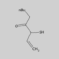 C=CC(S)C(=O)CCCCC